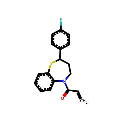 C=CC(=O)N1CCC(c2ccc(F)cc2)Sc2ccccc21